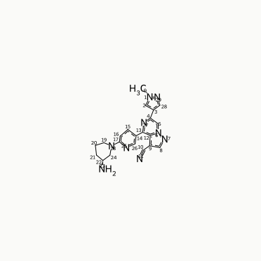 Cn1cc(-c2cn3ncc(C#N)c3c(-c3ccc(N4CCC[C@H](N)C4)nc3)n2)cn1